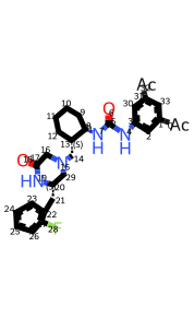 CC(=O)c1cc(NC(=O)N[C@@H]2CCCC[C@H]2CN2CC(=O)N[C@@H](Cc3ccccc3F)C2)cc(C(C)=O)c1